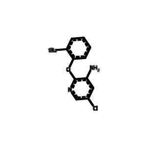 CC(C)(C)c1ccccc1Oc1ncc(Cl)cc1N